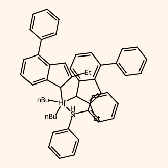 CCC[CH2][Hf]([CH2]CCC)([CH]1C(CC)=Cc2c(-c3ccccc3)cccc21)([CH]1C(CC)=Cc2c(-c3ccccc3)cccc21)[SiH](c1ccccc1)c1ccccc1